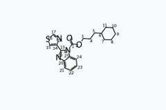 O=C(OCCCC1CCCCC1)n1c(-c2cscn2)nc2ccccc21